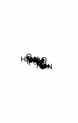 CC(=O)NC1CCN(c2nnc(-c3cnc(-c4ccc5cc(C#N)cnn45)cc3NC3COC3)s2)CC1(F)F